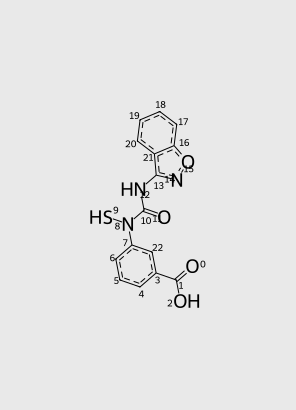 O=C(O)c1cccc(N(S)C(=O)Nc2noc3ccccc23)c1